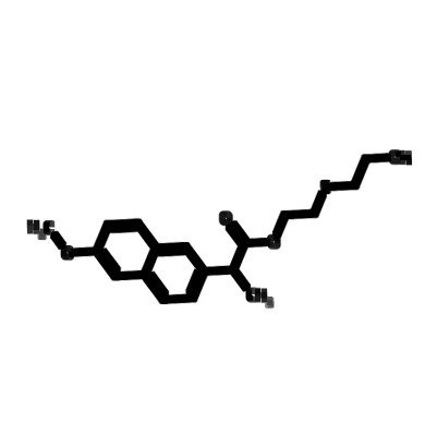 COc1ccc2cc(C(C)C(=O)OCCSCCO)ccc2c1